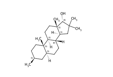 C[C@H]1CC[C@@]2(C)[C@@H](CC[C@@H]3[C@@H]2CC[C@]2(C)[C@H](O)C(C)(C)C[C@@H]32)C1